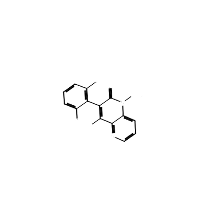 Cn1c(=O)c(-c2c(F)cccc2Cl)c(O)c2ncccc21